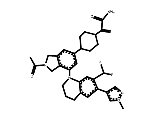 C=C(C(N)=O)C1CCC(c2cc3c(c(N4CCCc5cc(-c6cnn(C)c6)c(C(F)F)cc54)c2)CN(C(C)=O)C3)CC1